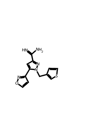 N=C(N)c1cc(-c2ccon2)n(Cc2ccsc2)n1